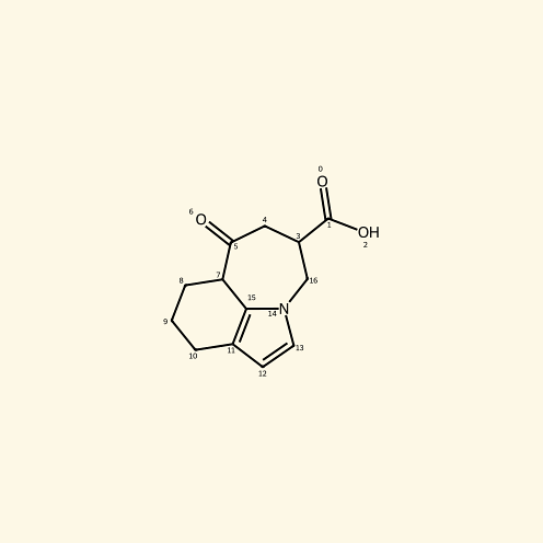 O=C(O)C1CC(=O)C2CCCc3ccn(c32)C1